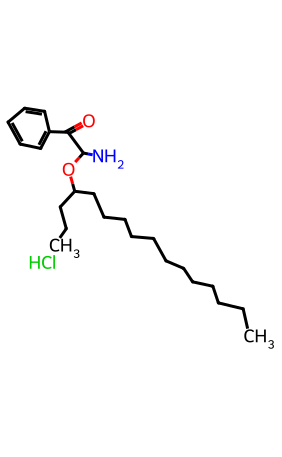 CCCCCCCCCCCCC(CCC)OC(N)C(=O)c1ccccc1.Cl